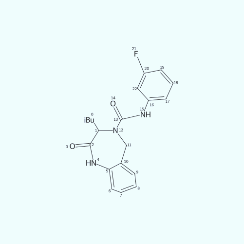 CCC(C)C1C(=O)Nc2ccccc2CN1C(=O)Nc1cccc(F)c1